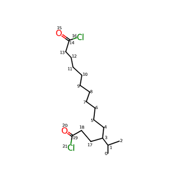 CC(C)C(CCCCCCCCCCC(=O)Cl)CCC(=O)Cl